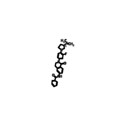 CN(C)[C@@H]1CCN(c2ccc(N3CCc4cc(NC(=O)c5ccccc5)ccc4C3=O)cc2F)C1